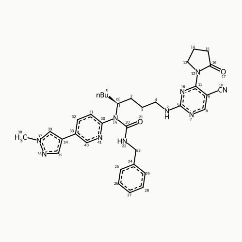 CCCC[C@@H](CCCNc1ncc(C#N)c(N2CCCC2=O)n1)N(C(=O)NCc1ccccc1)c1ccc(-c2cnn(C)c2)cn1